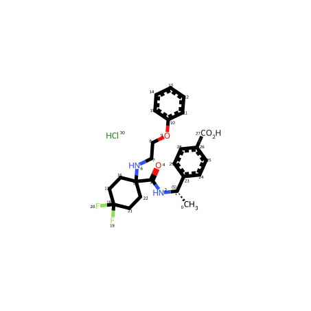 C[C@H](NC(=O)C1(NCCOc2ccccc2)CCC(F)(F)CC1)c1ccc(C(=O)O)cc1.Cl